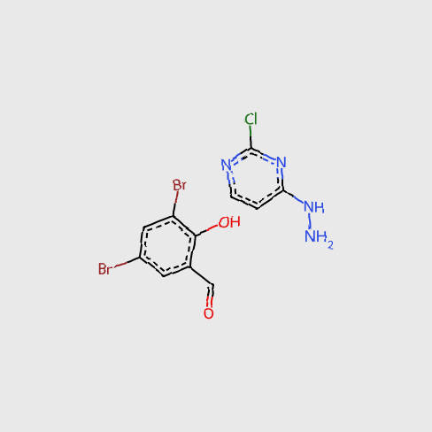 NNc1ccnc(Cl)n1.O=Cc1cc(Br)cc(Br)c1O